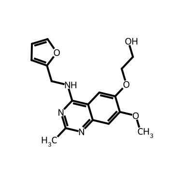 COc1cc2nc(C)nc(NCc3ccco3)c2cc1OCCO